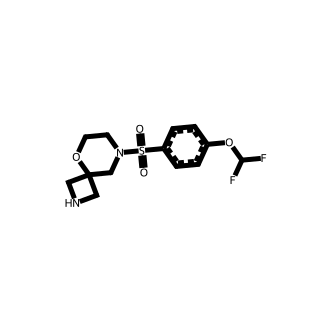 O=S(=O)(c1ccc(OC(F)F)cc1)N1CCOC2(CNC2)C1